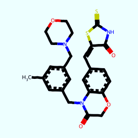 Cc1cc(CN2CCOCC2)cc(CN2C(=O)COc3ccc(C=C4SC(=S)NC4=O)cc32)c1